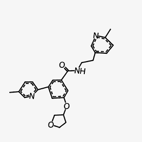 Cc1ccc(-c2cc(OC3CCOC3)cc(C(=O)NCCc3ccc(C)nc3)c2)nc1